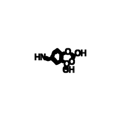 N=Cc1ccc(OC(=O)O)c(OO)c1